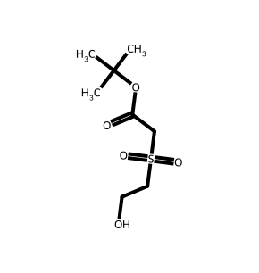 CC(C)(C)OC(=O)CS(=O)(=O)CCO